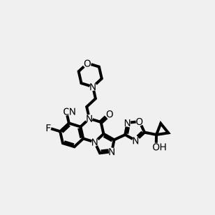 N#Cc1c(F)ccc2c1n(CCN1CCOCC1)c(=O)c1c(-c3noc(C4(O)CC4)n3)ncn12